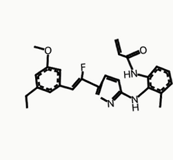 C=CC(=O)Nc1cccc(C)c1NC(/C=C\C(=C)/C(F)=C/c1cc(CC)cc(OC)c1)=N/C